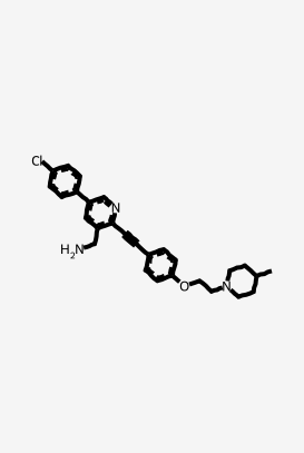 CC1CCN(CCOc2ccc(C#Cc3ncc(-c4ccc(Cl)cc4)cc3CN)cc2)CC1